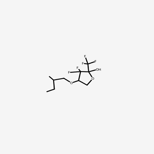 CCC(C)COC1COC(O)(C(F)(F)F)C1(F)F